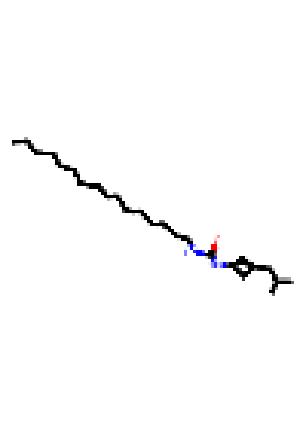 CCCCCCCCCCCCCCCCNC(=O)NC12CC(CC(C)C)(C1)C2